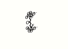 O=C(CCC(F)([N+](=O)[O-])[N+](=O)[O-])CCC(F)([N+](=O)[O-])[N+](=O)[O-]